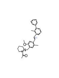 COc1cc(/C=C/c2cccc(-c3ccccc3)c2C)c(C)cc1CN1CCCC[C@@H]1C(C)=O